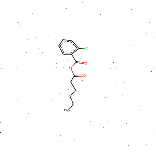 CCCCCC(=O)OC(=O)c1ccccc1Cl